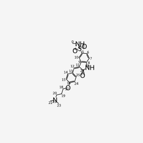 CNS(=O)(=O)c1ccc2c(c1)C(=Cc1ccc(OCCCN(C)C)cc1)C(=O)N2